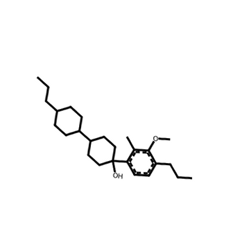 CCCc1ccc(C2(O)CCC(C3CCC(CCC)CC3)CC2)c(C)c1OC